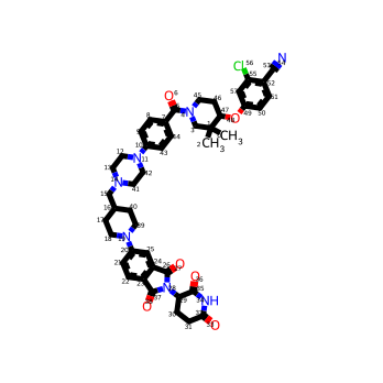 CC1(C)CN(C(=O)c2ccc(N3CCN(CC4CCN(c5ccc6c(c5)C(=O)N(C5CCC(=O)NC5=O)C6=O)CC4)CC3)cc2)CCC1Oc1ccc(C#N)c(Cl)c1